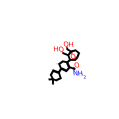 CC1(C)CC=C(C2=CC(C(N)=O)=C(C3CC4CCC(CO)(O4)C3CO)C[CH]2)CC1